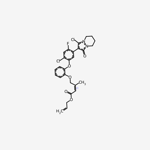 C=CCOC(=O)/C=C(/C)COc1ccccc1Oc1cc(-c2c(Cl)n3n(c2=O)CCCC3)c(F)cc1Cl